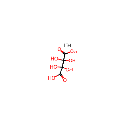 O=C(O)C(O)(O)C(O)(O)C(=O)O.[LiH]